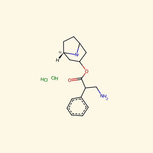 CN1C2CC[C@H]1CC(OC(=O)C(CN)c1ccccc1)C2.Cl.Cl